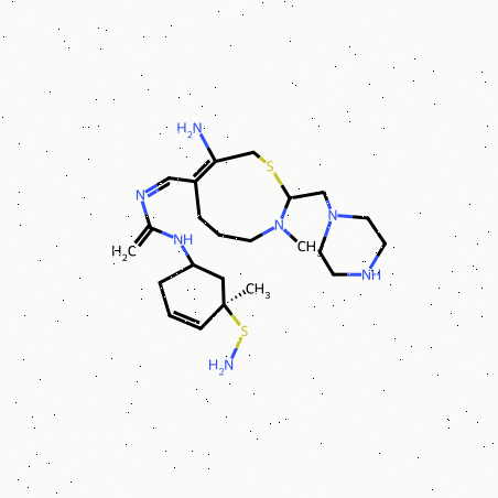 C=C(/N=C\C1=C(/N)CSC(CN2CCNCC2)N(C)CCC1)NC1CC=C[C@](C)(SN)C1